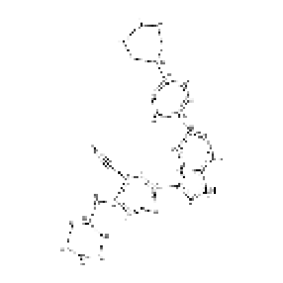 N#Cc1cc(-c2c[nH]c3ncc(-c4ccc(N5CCOCC5)cc4)cc23)ccc1OC1CCOCC1